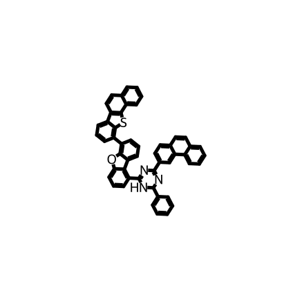 c1ccc(C2N=C(c3ccc4ccc5ccccc5c4c3)N=C(c3cccc4oc5c(-c6cccc7c6sc6c8ccccc8ccc76)cccc5c34)N2)cc1